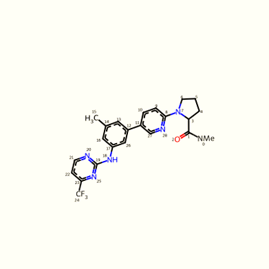 CNC(=O)C1CCCN1c1ccc(-c2cc(C)cc(Nc3nccc(C(F)(F)F)n3)c2)cn1